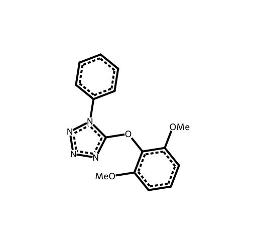 COc1cccc(OC)c1Oc1nnnn1-c1ccccc1